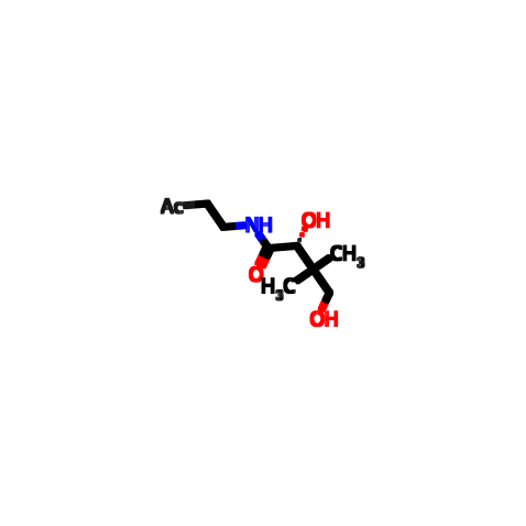 CC(=O)CCNC(=O)[C@H](O)C(C)(C)CO